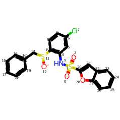 O=S(=O)(Nc1cc(Cl)ccc1[S+]([O-])Cc1ccccc1)c1cc2ccccc2o1